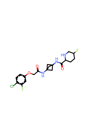 O=C(COc1ccc(Cl)c(F)c1)NC12CC(NC(=O)C3CCC(F)CN3)(C1)C2